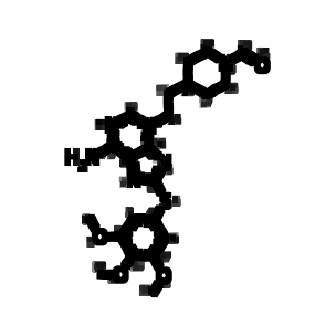 COc1cc(Sc2nc3c(N)ncn(CCC4CCN(C=O)CC4)c-3n2)cc(OC)c1OC